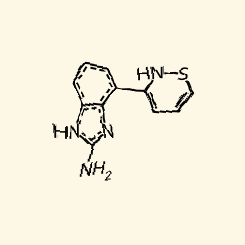 Nc1nc2c(C3=CC=CSN3)cccc2[nH]1